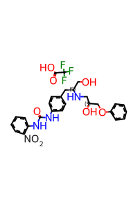 O=C(Nc1ccc(C[C@@H](CO)NC[C@H](O)COc2ccccc2)cc1)Nc1ccccc1[N+](=O)[O-].O=C(O)C(F)(F)F